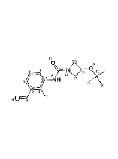 Cc1c(C=O)cccc1NC(=O)N1CC(OC(C)(C)C)C1